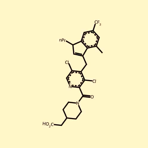 CCCC1C=C(Cc2c(Cl)cnc(C(=O)N3CCC(CC(=O)O)CC3)c2Cl)c2c(C)cc(C(F)(F)F)cc21